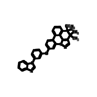 CC1(C)c2cccc3c4ccc(Oc5cccc(-n6cnc7ccccc76)c5)cc4n4ncc(c4c23)C1(C)C